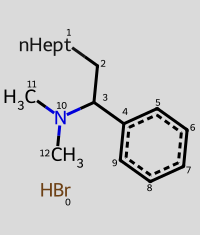 Br.CCCCCCCCC(c1ccccc1)N(C)C